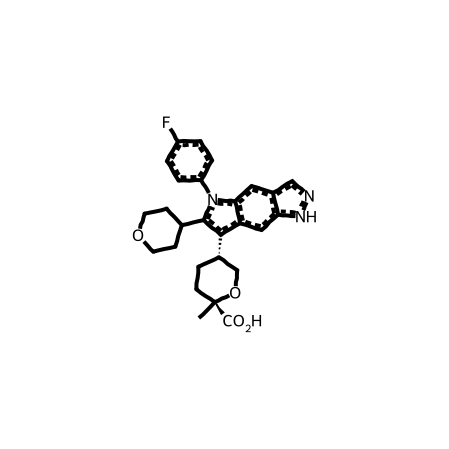 C[C@]1(C(=O)O)CC[C@H](c2c(C3CCOCC3)n(-c3ccc(F)cc3)c3cc4cn[nH]c4cc23)CO1